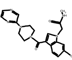 CNC(=O)Cn1cc(C(=O)N2CCN(c3cnccn3)CC2)c2ccc(Cl)cc21